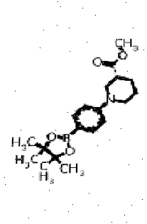 COC(=O)[C@@H]1CCCN(c2ccc(B3OC(C)(C)C(C)(C)O3)cc2)C1